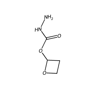 NNC(=O)OC1CCO1